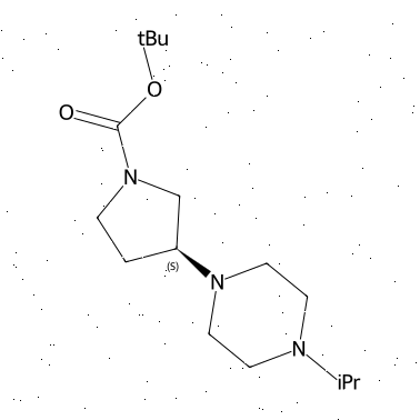 CC(C)N1CCN([C@H]2CCN(C(=O)OC(C)(C)C)C2)CC1